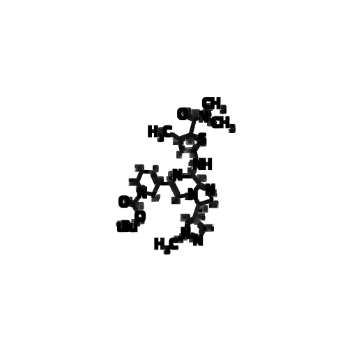 Cc1cc(NC2=NC(C3=CCCN(C(=O)OC(C)(C)C)C3)=CN3C2=NCC3c2cnn(C)c2)sc1C(=O)N(C)C